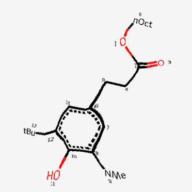 CCCCCCCCOC(=O)CCc1cc(NC)c(O)c(C(C)(C)C)c1